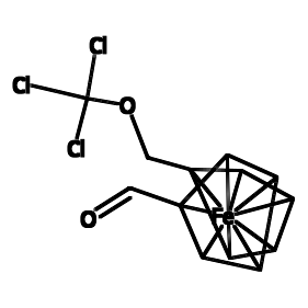 O=C[C]12[CH]3[CH]4[CH]5[CH]1[Fe]45321678[CH]2[CH]1[CH]6[C]7(COC(Cl)(Cl)Cl)[CH]28